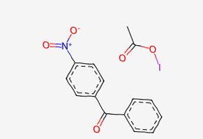 CC(=O)OI.O=C(c1ccccc1)c1ccc([N+](=O)[O-])cc1